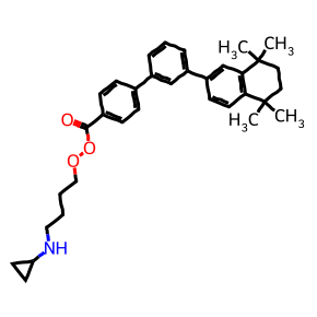 CC1(C)CCC(C)(C)c2cc(-c3cccc(-c4ccc(C(=O)OOCCCCNC5CC5)cc4)c3)ccc21